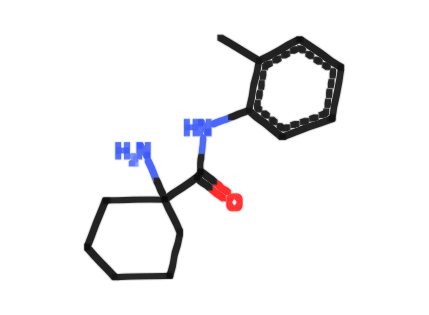 Cc1ccccc1NC(=O)C1(N)CCCCC1